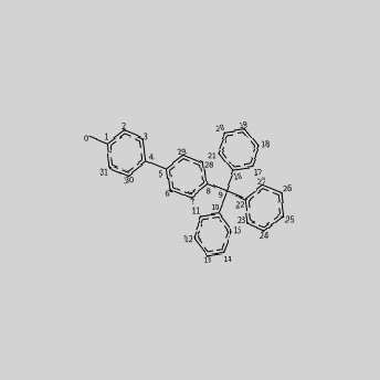 Cc1ccc(-c2ccc(C(c3ccccc3)(c3ccccc3)c3ccccc3)cc2)cc1